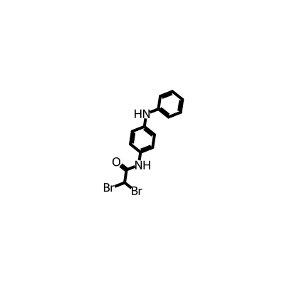 O=C(Nc1ccc(Nc2ccccc2)cc1)C(Br)Br